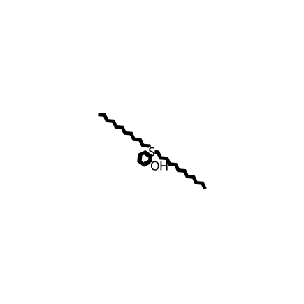 CCCCCCCCCCCCSCCCCCCCCCCCC.Oc1ccccc1